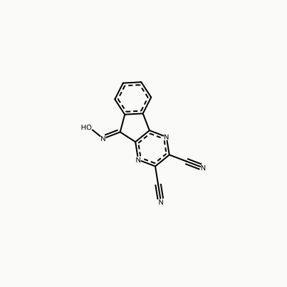 N#Cc1nc2c(nc1C#N)-c1ccccc1C2=NO